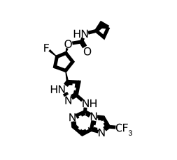 O=C(NC12CC(C1)C2)O[C@H]1C[C@@H](c2cc(Nc3nccc4nc(C(F)(F)F)cn34)n[nH]2)C[C@H]1F